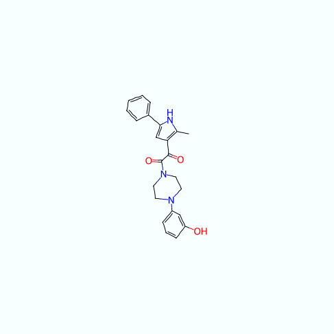 Cc1[nH]c(-c2ccccc2)cc1C(=O)C(=O)N1CCN(c2cccc(O)c2)CC1